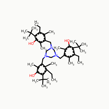 CCc1c(C)c(CN2CN(Cc3c(C)c(O)c(C(C)(C)C)c(CC)c3C)CN(Cc3c(C)c(O)c(C(C)(C)C)c(CC)c3C)C2)c(C)c(O)c1C(C)(C)C